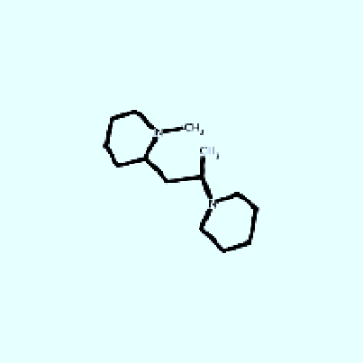 CC(CC1CCCCN1C)N1CCCCC1